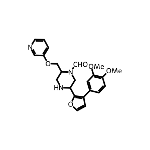 COc1ccc(-c2ccoc2C2CN(C=O)C(COc3cccnc3)CN2)cc1OC